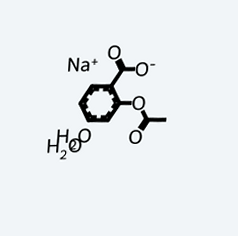 CC(=O)Oc1ccccc1C(=O)[O-].O.O.[Na+]